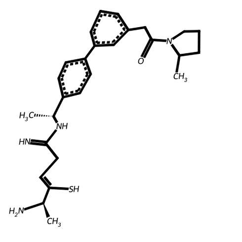 CC1CCCN1C(=O)Cc1cccc(-c2ccc([C@@H](C)NC(=N)C/C=C(\S)[C@@H](C)N)cc2)c1